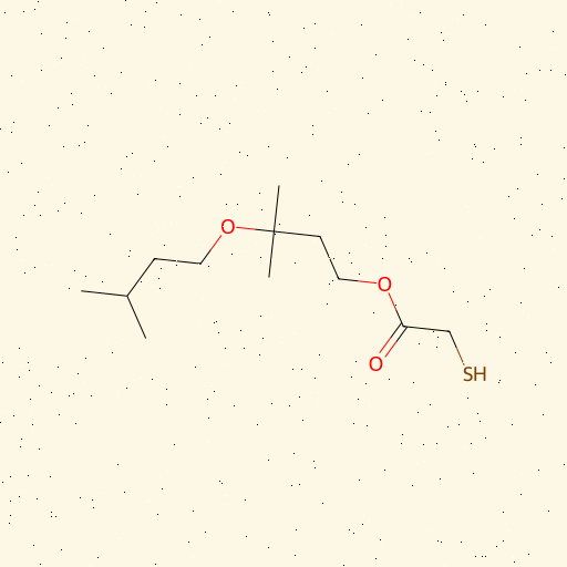 CC(C)CCOC(C)(C)CCOC(=O)CS